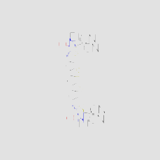 CCn1c(=C(C#N)C#N)s/c(=C\C2=Cc3sc4c(c3C23CCCCC3)C2(CCCCC2)c2c-4sc3c2C2(CCCCC2)C(/C=c2\sc(=C(C#N)C#N)n(CC)c2=O)=C3)c1=O